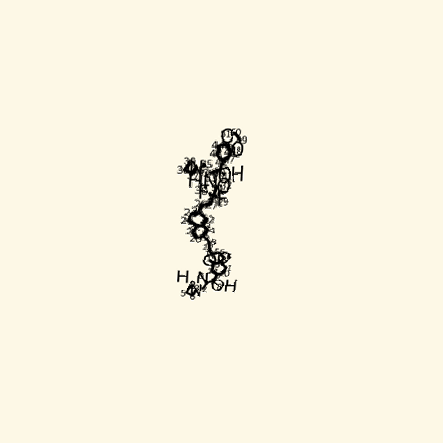 N[C@H](CN1CCC1)[C@H](O)c1ccc2c(c1)OC(CCc1ccc3ccc(CCC(F)(F)C(=O)N[C@H](CN4CCC4)[C@H](O)c4ccc5c(c4)OCCO5)cc3c1)CO2